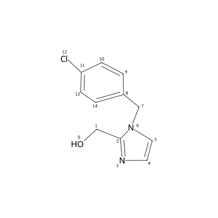 OCc1nccn1Cc1ccc(Cl)cc1